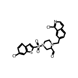 O=CC1CN(S(=O)(=O)c2cc3ccc(Cl)cc3s2)CCN1Cc1ccc2ccnc(Cl)c2c1